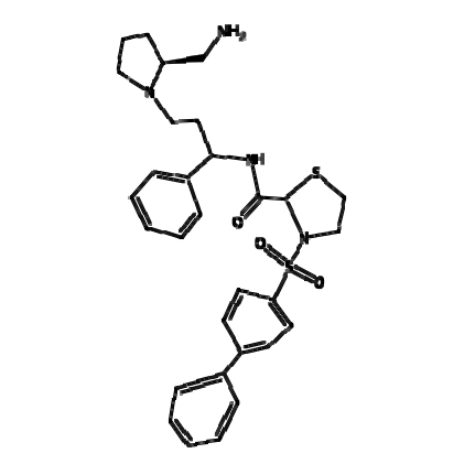 NC[C@@H]1CCCN1CCC(NC(=O)C1SCCN1S(=O)(=O)c1ccc(-c2ccccc2)cc1)c1ccccc1